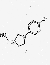 OC[C@H]1CCN(c2ccc(Br)cc2)C1